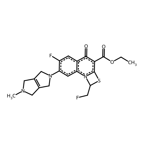 CCOC(=O)c1c2n(c3cc(N4CC5=C(CN(C)C5)C4)c(F)cc3c1=O)C(CF)S2